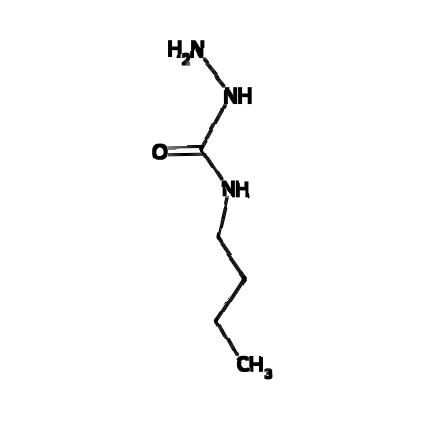 CCCCNC(=O)NN